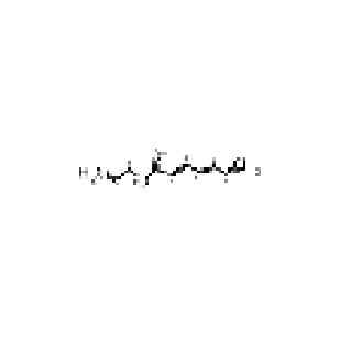 C=CC=CC=CC(=O)OCC=C